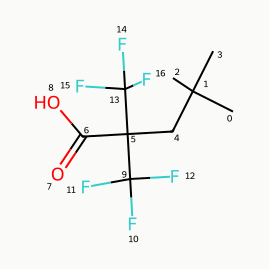 CC(C)(C)CC(C(=O)O)(C(F)(F)F)C(F)(F)F